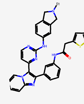 CCN1Cc2ccc(Nc3nccc(-c4c(-c5cccc(NC(=O)Cc6cccs6)c5)nc5ccccn45)n3)cc2C1